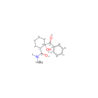 CCCCN(C)C(=O)C1CCCCC1(O)C(=O)c1ccccc1